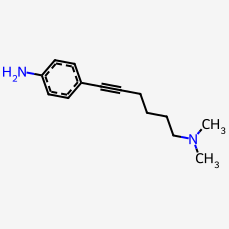 CN(C)CCCCC#Cc1ccc(N)cc1